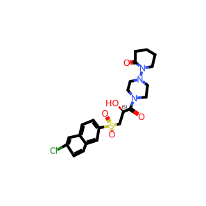 O=C([C@H](O)CS(=O)(=O)c1ccc2cc(Cl)ccc2c1)N1CCN(N2CCCCC2=O)CC1